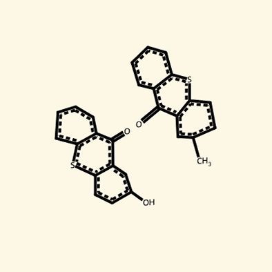 Cc1ccc2sc3ccccc3c(=O)c2c1.O=c1c2ccccc2sc2ccc(O)cc12